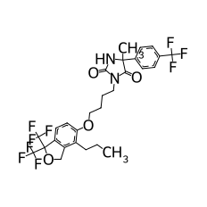 CCCc1c(OCCCCN2C(=O)NC(C)(c3ccc(C(F)(F)F)cc3)C2=O)ccc2c1COC2(C(F)(F)F)C(F)(F)F